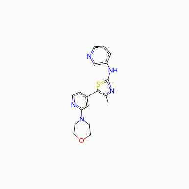 Cc1nc(Nc2cccnc2)sc1-c1ccnc(N2CCOCC2)c1